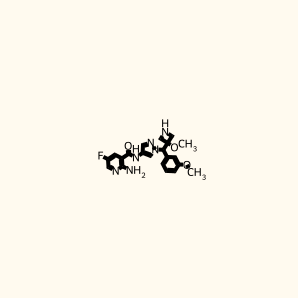 COc1cccc(C(n2cc(NC(=O)c3cc(F)cnc3N)cn2)C2(OC)CNC2)c1